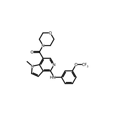 Cn1ccc2c(Nc3cccc(OC(F)(F)F)c3)ncc(C(=O)N3CCOCC3)c21